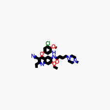 CCOc1cc2nc(CC)c(C#N)c(Oc3ccc(OC)c(Cl)c3)c2cc1NC(=O)/C=C/CN1CCN(C)CC1